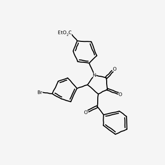 CCOC(=O)c1ccc(N2C(=O)C(=O)C(C(=O)c3ccccc3)C2c2ccc(Br)cc2)cc1